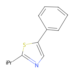 CC(C)c1ncc(-c2ccccc2)s1